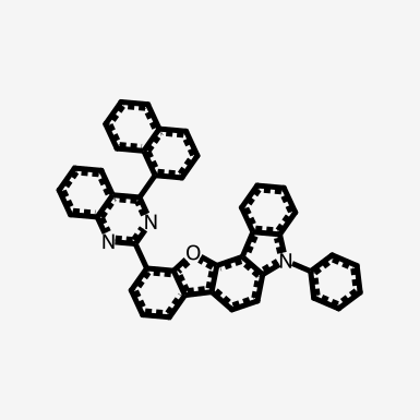 c1ccc(-n2c3ccccc3c3c4oc5c(-c6nc(-c7cccc8ccccc78)c7ccccc7n6)cccc5c4ccc32)cc1